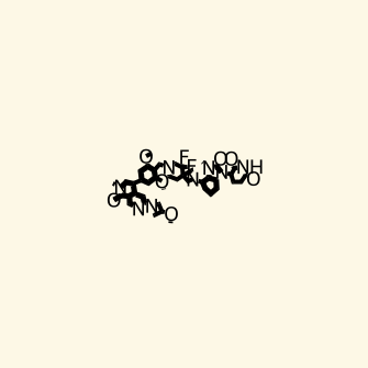 COc1cc(-c2cn(C)c(=O)c3cnc(N4CC(OC)C4)cc23)cc(OC)c1CN1CCC2(CN(c3cccc4c3n(C)c(=O)n4C3CCC(=O)NC3=O)C2)C(F)(F)C1